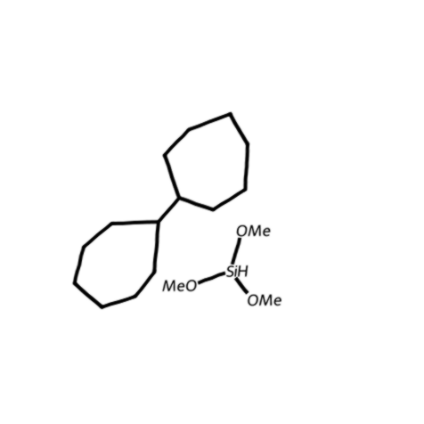 C1CCCC(C2CCCCCC2)CC1.CO[SiH](OC)OC